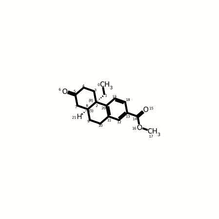 CC[C@@]12CCC(=O)C[C@@H]1CCc1cc(C(=O)OC)ccc12